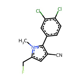 Cn1c(CF)cc(C#N)c1-c1ccc(Cl)c(Cl)c1